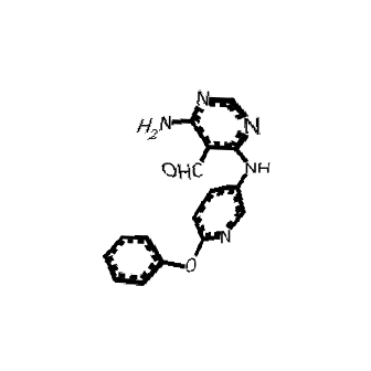 Nc1ncnc(Nc2ccc(Oc3ccccc3)nc2)c1C=O